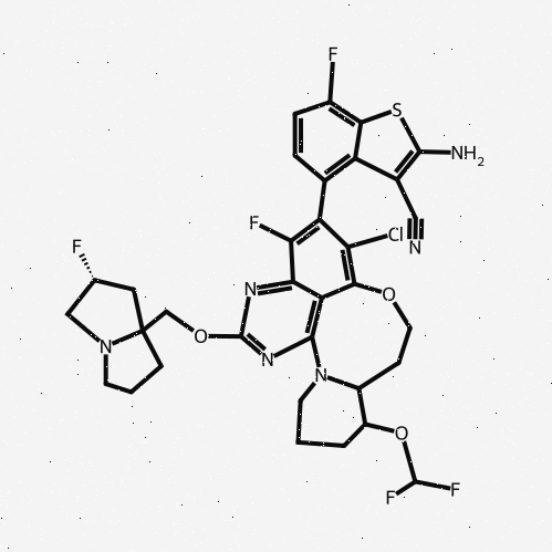 N#Cc1c(N)sc2c(F)ccc(-c3c(Cl)c4c5c(nc(OCC67CCCN6C[C@H](F)C7)nc5c3F)N3CCCC(OC(F)F)C3CCO4)c12